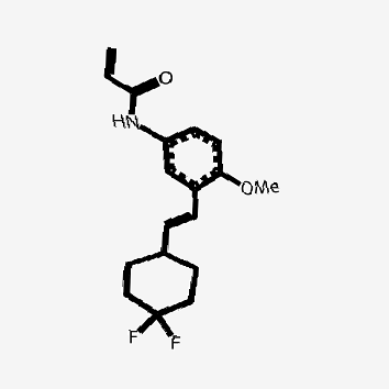 C=CC(=O)Nc1ccc(OC)c(/C=C/C2CCC(F)(F)CC2)c1